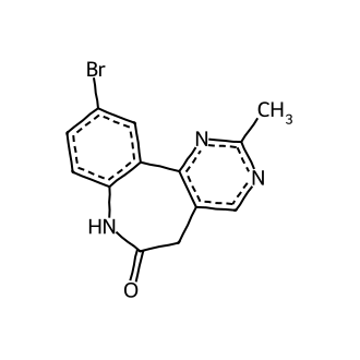 Cc1ncc2c(n1)-c1cc(Br)ccc1NC(=O)C2